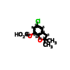 CC1(C)Cc2cc(Cl)cc(OC(=O)O)c2O1